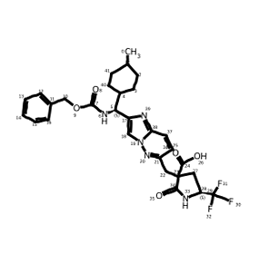 CC1CCC([C@H](NC(=O)OCc2ccccc2)c2cn3nc(CC4(C(=O)O)C[C@@H](C(F)(F)F)NC4=O)ccc3n2)CC1